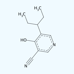 CCC(CC)c1cncc(C#N)c1O